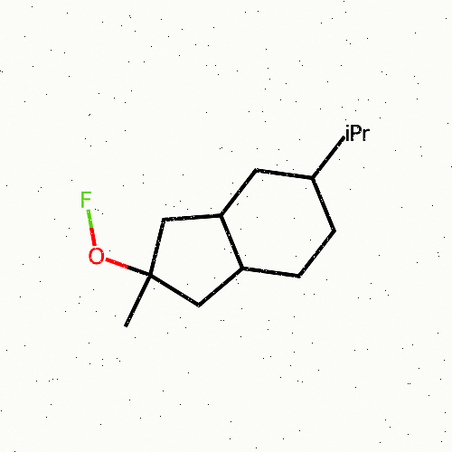 CC(C)C1CCC2CC(C)(OF)CC2C1